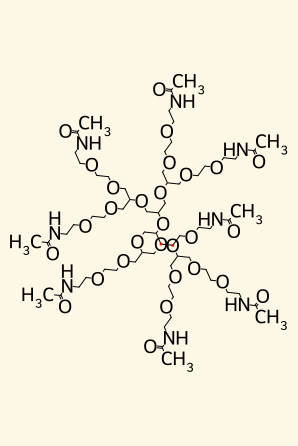 CC(=O)NCCOCCOCC(COCCOCCNC(C)=O)OCC(COC(COCCOCCNC(C)=O)COCCOCCNC(C)=O)OC(COC(COCCOCCNC(C)=O)COCCOCCNC(C)=O)COC(COCCOCCNC(C)=O)COCCOCCNC(C)=O